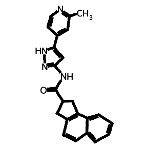 Cc1cc(-c2cc(NC(=O)C3Cc4ccc5ccccc5c4C3)n[nH]2)ccn1